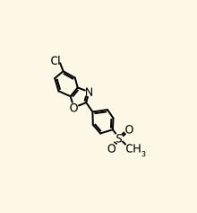 CS(=O)(=O)c1ccc(-c2nc3cc(Cl)ccc3o2)cc1